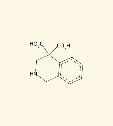 O=C(O)C1(C(=O)O)CNCc2ccccc21